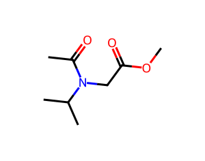 COC(=O)CN(C(C)=O)C(C)C